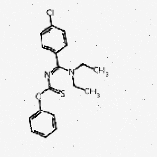 CCN(CC)C(=NC(=S)Oc1ccccc1)c1ccc(Cl)cc1